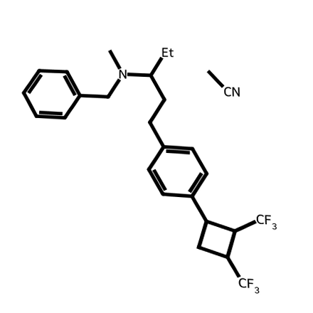 CC#N.CCC(CCc1ccc(C2CC(C(F)(F)F)C2C(F)(F)F)cc1)N(C)Cc1ccccc1